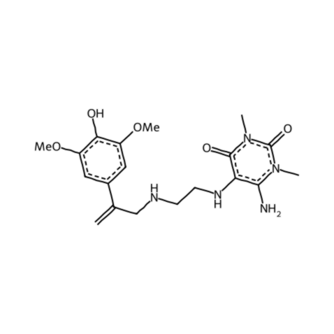 C=C(CNCCNc1c(N)n(C)c(=O)n(C)c1=O)c1cc(OC)c(O)c(OC)c1